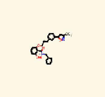 O=C(O)c1cc(-c2cccc(C=CCOc3cccc(O)c3C(=O)NCc3ccccc3)c2)on1